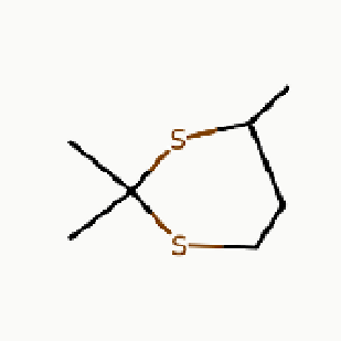 CC1CCSC(C)(C)S1